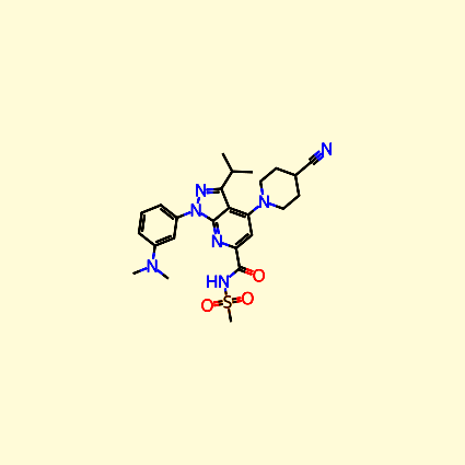 CC(C)c1nn(-c2cccc(N(C)C)c2)c2nc(C(=O)NS(C)(=O)=O)cc(N3CCC(C#N)CC3)c12